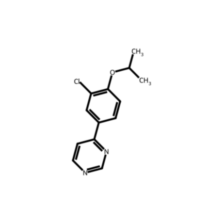 CC(C)Oc1ccc(-c2ccncn2)cc1Cl